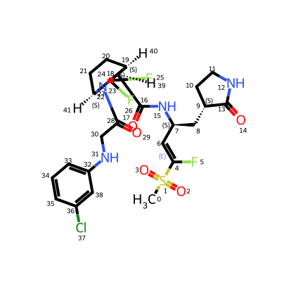 CS(=O)(=O)/C(F)=C/[C@H](C[C@@H]1CCNC1=O)NC(=O)[C@@H]1[C@@H]2CC[C@@H](CC2(F)F)N1C(=O)CNc1cccc(Cl)c1